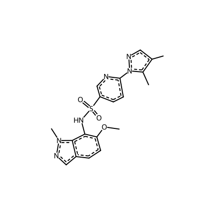 COc1ccc2cnn(C)c2c1NS(=O)(=O)c1ccc(-n2ncc(C)c2C)nc1